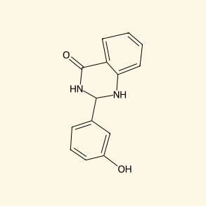 O=C1NC(c2cccc(O)c2)Nc2ccccc21